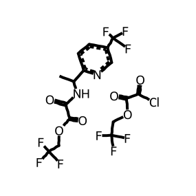 CC(NC(=O)C(=O)OCC(F)(F)F)c1ccc(C(F)(F)F)cn1.O=C(Cl)C(=O)OCC(F)(F)F